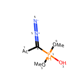 CO[PH](O)(OC)C(=[N+]=[N-])C(C)=O